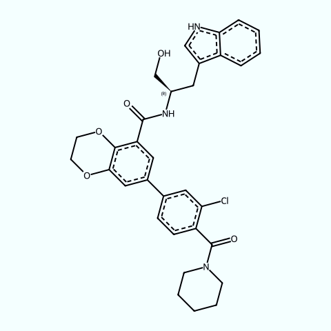 O=C(N[C@@H](CO)Cc1c[nH]c2ccccc12)c1cc(-c2ccc(C(=O)N3CCCCC3)c(Cl)c2)cc2c1OCCO2